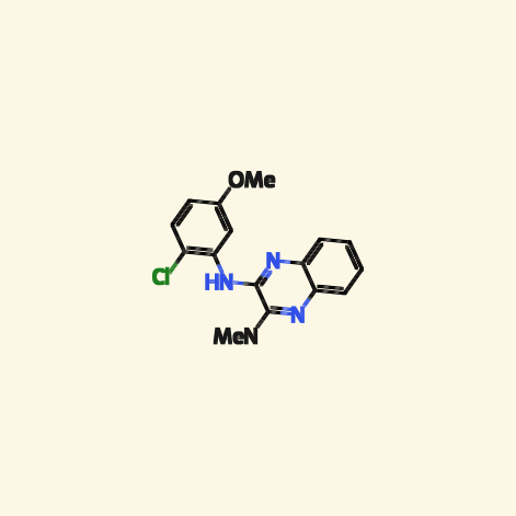 CNc1nc2ccccc2nc1Nc1cc(OC)ccc1Cl